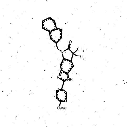 COc1ccc(-c2nc3cc4c(cc3[nH]2)C(C)(C)C(=O)N4Cc2ccc3ccccc3c2)cc1